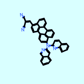 N#CC(C#N)=Cc1ccc2c3ccc(N(c4cc5ccccc5cn4)c4ccc5ccccc5n4)c4cccc(c5cccc1c52)c43